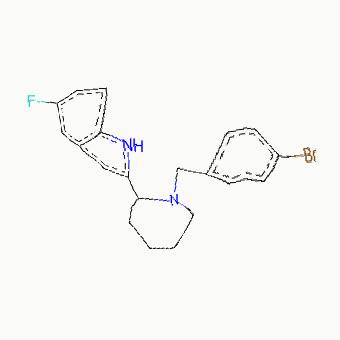 Fc1ccc2[nH]c(C3CCCCN3Cc3ccc(Br)cc3)cc2c1